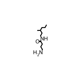 CCCC(C)CCNC(=O)CCCN